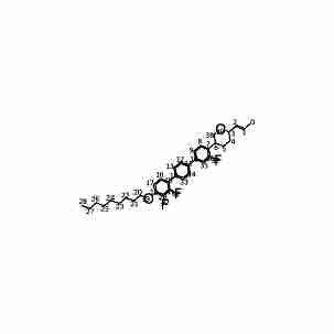 C/C=C/C1CCC(c2ccc(-c3ccc(-c4ccc(OCCCCCCCCC)c(F)c4F)cc3)cc2F)CO1